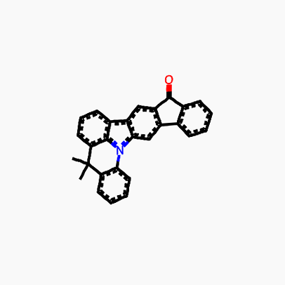 CC1(C)c2ccccc2-n2c3cc4c(cc3c3cccc1c32)C(=O)c1ccccc1-4